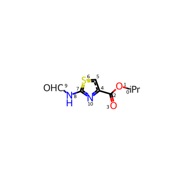 CC(C)OC(=O)c1csc(NC=O)n1